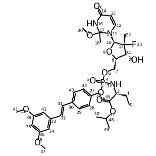 CC[C@H](NP(=O)(OC[C@H]1O[C@@H](N2C=CC(=O)NC2(C)OC)[C@](C)(F)[C@@H]1O)Oc1ccc(/C=C/c2cc(OC)cc(OC)c2)cc1)C(=O)OC(C)C